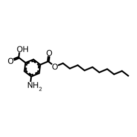 CCCCCCCCCCOC(=O)c1cc(N)cc(C(=O)O)c1